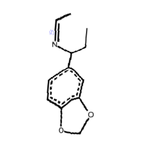 C/C=N\C(CC)c1ccc2c(c1)OCO2